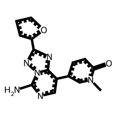 Cn1cc(-c2cnc(N)n3nc(-c4ccco4)nc23)ccc1=O